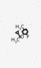 Cc1ccc(F)c(O[C@H](C)C2CC2)c1